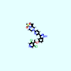 CC(Oc1ccc2[nH]nc(-c3ccc(N4CCN(S(C)(=O)=O)C5(CC5)C4)nc3)c2c1)c1c(Cl)cncc1Cl